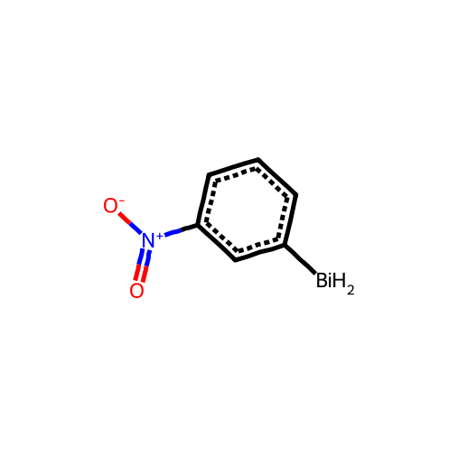 O=[N+]([O-])c1ccc[c]([BiH2])c1